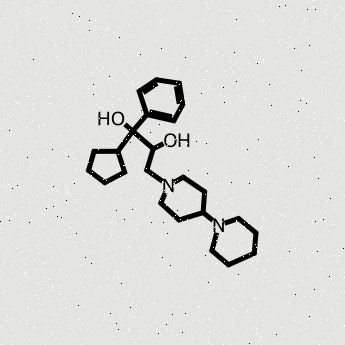 OC(CN1CCC(N2CCCCC2)CC1)C(O)(c1ccccc1)C1CCCC1